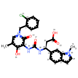 Cc1cn(Cc2ccccc2Cl)c(=O)c(NC(=O)N[C@@H](CC(=O)O)c2ccc3ccn(C)c3c2)c1O